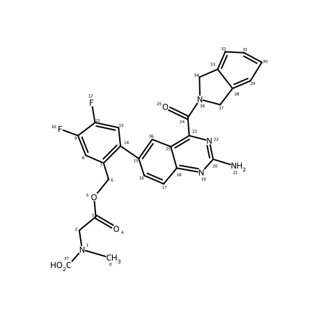 CN(CC(=O)OCc1cc(F)c(F)cc1-c1ccc2nc(N)nc(C(=O)N3Cc4ccccc4C3)c2c1)C(=O)O